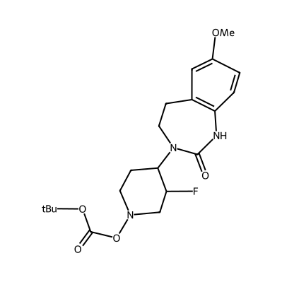 COc1ccc2c(c1)CCN(C1CCN(OC(=O)OC(C)(C)C)CC1F)C(=O)N2